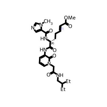 CCC(CC)CNC(=O)Cn1cccc(NC(=O)[C@@H](CC/C=C/C(=O)OC)NC(=O)c2cncn2C)c1=O